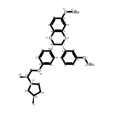 CCCCOc1cccc([C@H]2Sc3cc(OCCCC)ccc3O[C@H]2c2ccc(OC[C@H](C)N3CC[C@@H](C)C3)cc2)c1